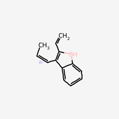 C=CC1=C(/C=C\C)c2ccccc2B1